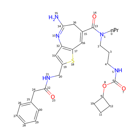 CCCN(CCCNC(=O)OC1CCC1)C(=O)C1=Cc2sc(CNC(=O)Cc3ccccc3)cc2N=C(N)C1